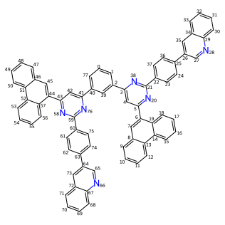 c1cc(-c2cc(-c3cc4ccccc4c4ccccc34)nc(-c3ccc(-c4cnc5ccccc5c4)cc3)n2)cc(-c2cc(-c3cc4ccccc4c4ccccc34)nc(-c3ccc(-c4cnc5ccccc5c4)cc3)n2)c1